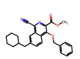 COC(=O)c1nc(C#N)c2cc(CC3CCCCC3)ccc2c1OCc1ccccc1